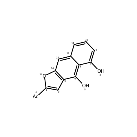 CC(=O)c1cc2c(O)c3c(O)cccc3[c]c2o1